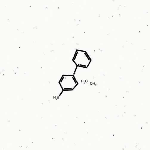 Bc1ccc(-c2ccccc2)cc1.O.O